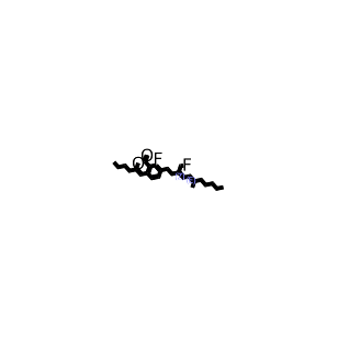 CCCCC/C(C)=C/C=C(\CF)CCc1ccc2cc(CCCC)oc(=O)c2c1F